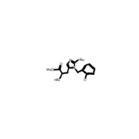 CCCCc1ncc(CC(CCCC)C(=O)OC)n1Cc1ccccc1Cl